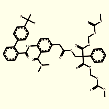 COC(=O)OCOC(=O)C(COC(=O)Cc1ccc(NC(=O)c2ccccc2-c2ccc(C(F)(F)F)cc2)c(C(=O)N(C)C)c1)(C(=O)OCOC(=O)OC)c1ccccc1